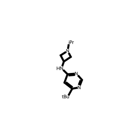 CC(C)N1CC(Nc2cc(C(C)(C)C)ncn2)C1